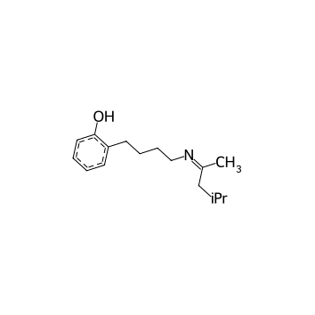 CC(CC(C)C)=NCCCCc1ccccc1O